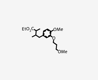 CCOC(=O)C(C)C(C)Cc1ccc(OC)c(OCCCOC)c1